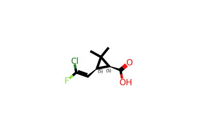 CC1(C)[C@H](C=C(F)Cl)[C@@H]1C(=O)O